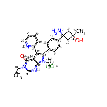 Cl.Cn1c(-c2ccc(C3(N)CC(C)(O)C3)cc2)c(-c2ccccn2)c2c(=O)n(CC(F)(F)F)cnc21